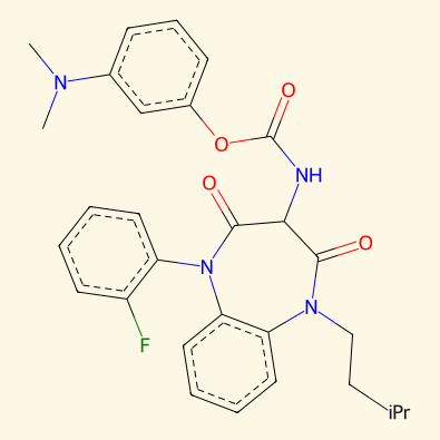 CC(C)CCN1C(=O)C(NC(=O)Oc2cccc(N(C)C)c2)C(=O)N(c2ccccc2F)c2ccccc21